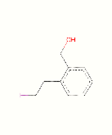 OCc1ccccc1CCI